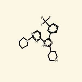 FC(F)(F)c1cccc(-c2nc(C3CCNCC3)[nH]c2-c2ccnc(N3CCCCC3)n2)c1